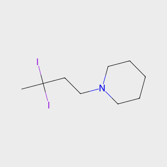 CC(I)(I)CCN1CCCCC1